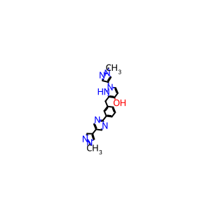 Cn1cc(-c2cnc(-c3cccc(CC4=C(O)C=CN(c5cnn(C)c5)N4)c3)nc2)cn1